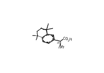 CCC[C@H](C(=O)O)c1ccc2c(c1)C(C)(C)CCC2(C)C